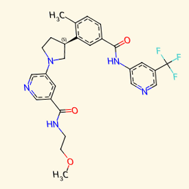 COCCNC(=O)c1cncc(N2CC[C@@H](c3cc(C(=O)Nc4cncc(C(F)(F)F)c4)ccc3C)C2)c1